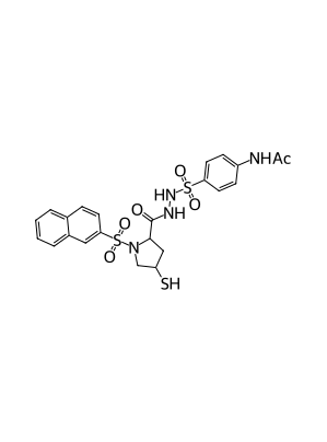 CC(=O)Nc1ccc(S(=O)(=O)NNC(=O)C2CC(S)CN2S(=O)(=O)c2ccc3ccccc3c2)cc1